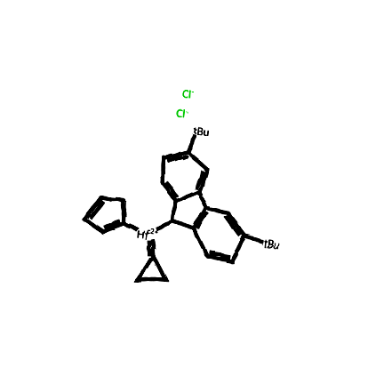 CC(C)(C)c1ccc2c(c1)-c1cc(C(C)(C)C)ccc1[CH]2[Hf+2]([C]1=CC=CC1)=[C]1CC1.[Cl-].[Cl-]